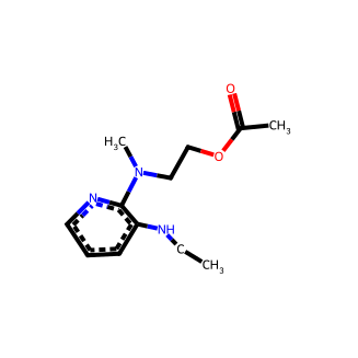 CCNc1cccnc1N(C)CCOC(C)=O